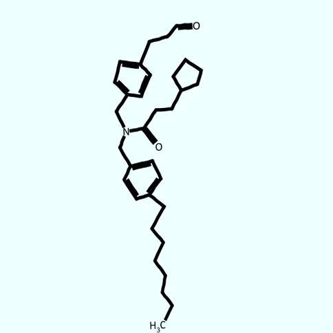 CCCCCCCCc1ccc(CN(Cc2ccc(CCC=O)cc2)C(=O)CCC2CCCC2)cc1